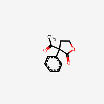 CC(=O)C1(c2ccccc2)CCOC1=O